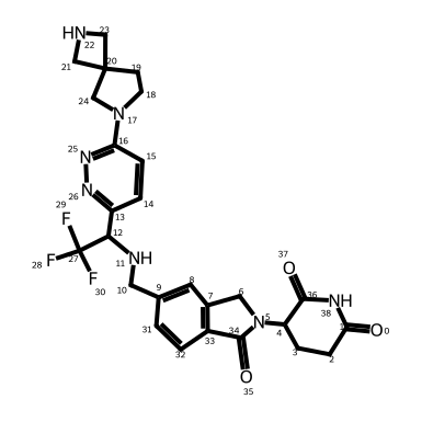 O=C1CCC(N2Cc3cc(CNC(c4ccc(N5CCC6(CNC6)C5)nn4)C(F)(F)F)ccc3C2=O)C(=O)N1